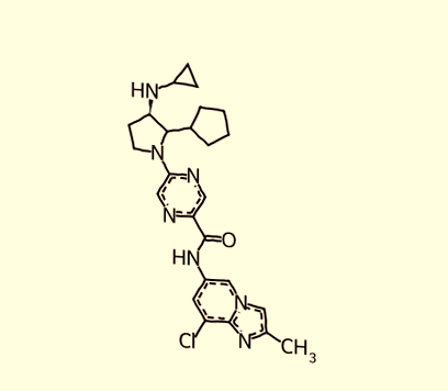 Cc1cn2cc(NC(=O)c3cnc(N4CC[C@@H](NC5CC5)C4C4CCCC4)cn3)cc(Cl)c2n1